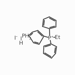 CC[P+](c1ccccc1)(c1ccccc1)c1ccccc1.I.P.[I-]